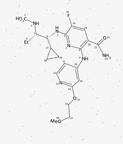 CC[C@H](NC(=O)O)[C@H](Nc1nc(Nc2ccnc(OCCOC)c2)c(C(N)=O)cc1F)C1CC1